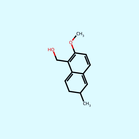 COc1ccc2c(c1CO)=CCC(C)C=2